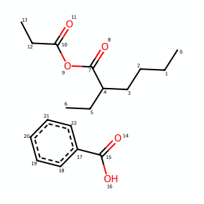 CCCCC(CC)C(=O)OC(=O)CC.O=C(O)c1ccccc1